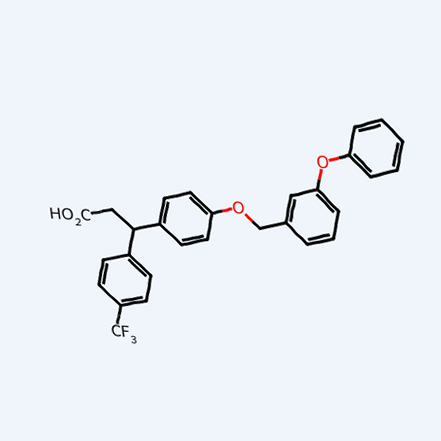 O=C(O)CC(c1ccc(OCc2cccc(Oc3ccccc3)c2)cc1)c1ccc(C(F)(F)F)cc1